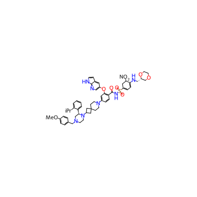 COc1ccc(CN2CCN(C3CC4(CCN(c5ccc(C(=O)NS(=O)(=O)C6=CC=C(NC[C@H]7COCCO7)C([N+](=O)[O-])C6)c(Oc6cnc7[nH]ccc7c6)c5)CC4)C3)[C@H](c3ccccc3C(C)C)C2)cc1